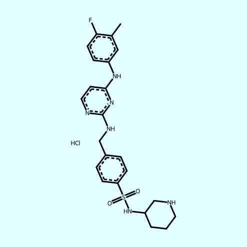 Cc1cc(Nc2ccnc(NCc3ccc(S(=O)(=O)NC4CCCNC4)cc3)n2)ccc1F.Cl